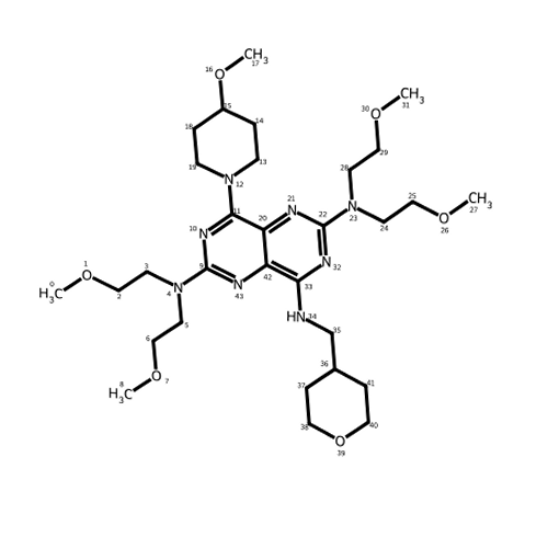 COCCN(CCOC)c1nc(N2CCC(OC)CC2)c2nc(N(CCOC)CCOC)nc(NCC3CCOCC3)c2n1